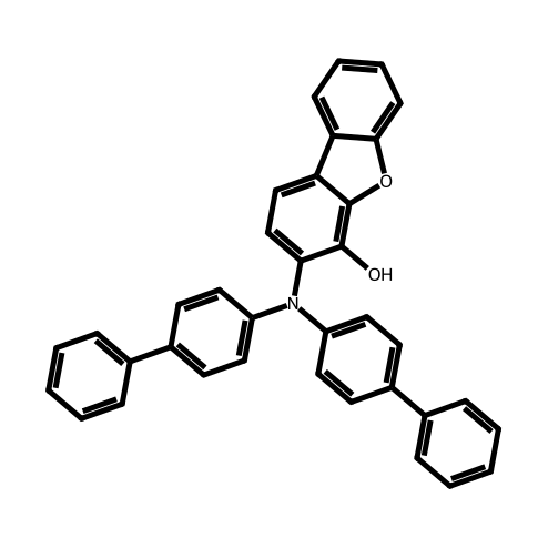 Oc1c(N(c2ccc(-c3ccccc3)cc2)c2ccc(-c3ccccc3)cc2)ccc2c1oc1ccccc12